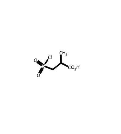 CC(CS(=O)(=O)Cl)C(=O)O